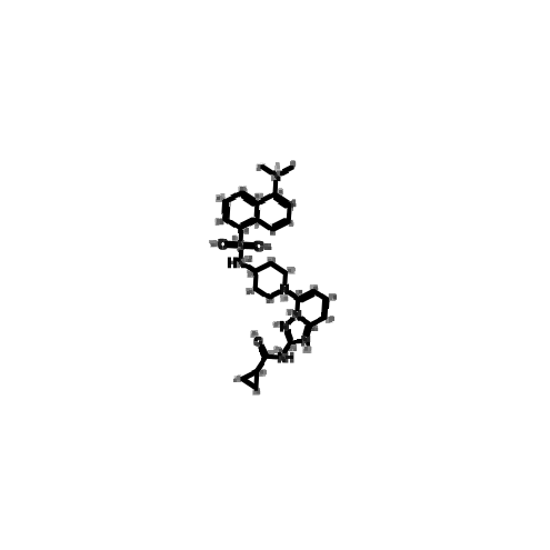 CN(C)c1cccc2c(S(=O)(=O)NC3CCN(c4cccc5nc(NC(=O)C6CC6)nn45)CC3)cccc12